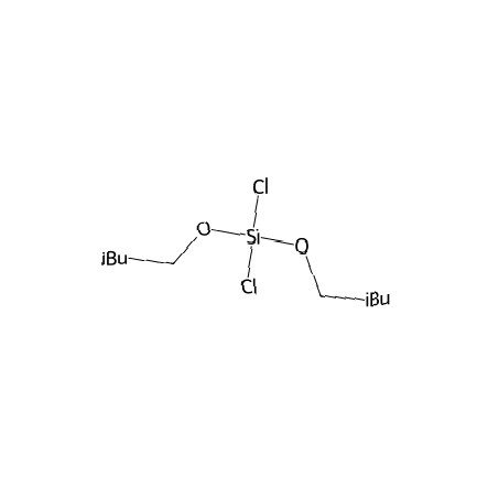 CCC(C)CO[Si](Cl)(Cl)OCC(C)CC